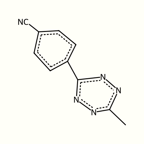 Cc1nnc(-c2ccc(C#N)cc2)nn1